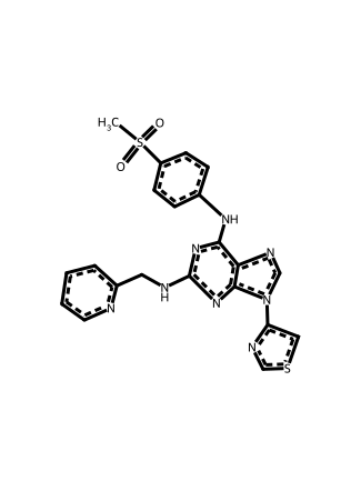 CS(=O)(=O)c1ccc(Nc2nc(NCc3ccccn3)nc3c2ncn3-c2cscn2)cc1